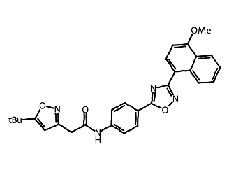 COc1ccc(-c2noc(-c3ccc(NC(=O)Cc4cc(C(C)(C)C)on4)cc3)n2)c2ccccc12